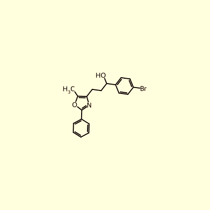 Cc1oc(-c2ccccc2)nc1CCC(O)c1ccc(Br)cc1